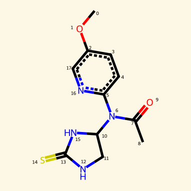 COc1ccc(N(C(C)=O)C2CNC(=S)N2)nc1